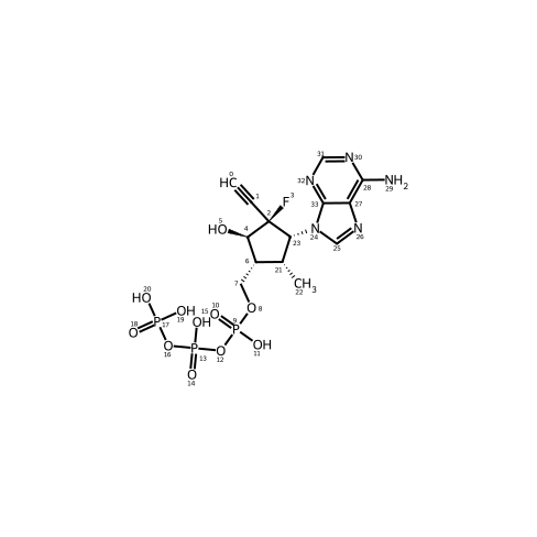 C#C[C@@]1(F)[C@H](O)[C@@H](COP(=O)(O)OP(=O)(O)OP(=O)(O)O)[C@@H](C)[C@H]1n1cnc2c(N)ncnc21